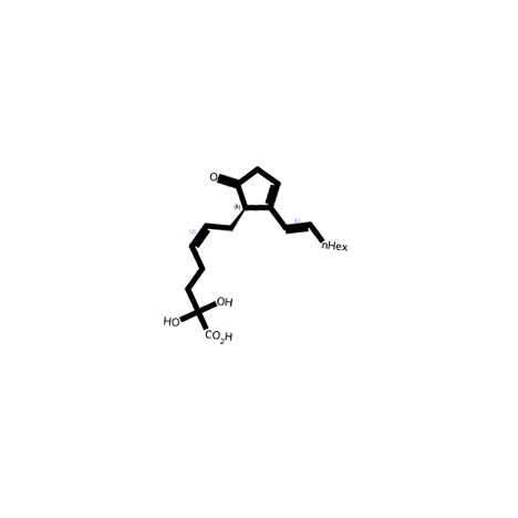 CCCCCC/C=C/C1=CCC(=O)[C@@H]1C/C=C\CCC(O)(O)C(=O)O